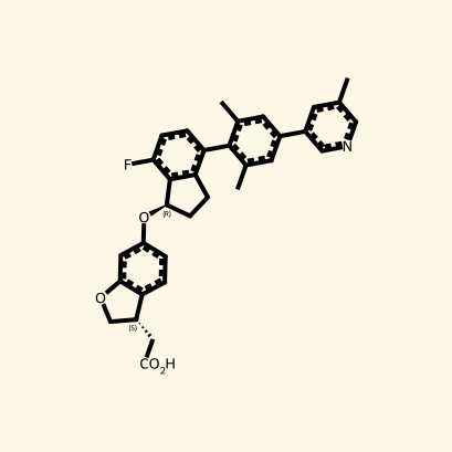 Cc1cncc(-c2cc(C)c(-c3ccc(F)c4c3CC[C@H]4Oc3ccc4c(c3)OC[C@H]4CC(=O)O)c(C)c2)c1